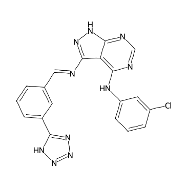 Clc1cccc(Nc2ncnc3[nH]nc(N=Cc4cccc(-c5nnn[nH]5)c4)c23)c1